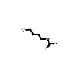 CCC(=O)NCCCCN